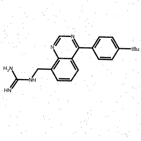 CC(C)(C)c1ccc(-c2ncnc3c(CNC(=N)N)cccc23)cc1